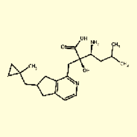 CC(C)C[C@H](N)[C@](O)(Cc1nccc2c1CC(CC1(C)CC1)C2)C(=O)O